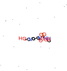 CC(CCn1ccc(-c2ccc(N3CCC(CO)CC3)cc2)cc1=O)(C(=O)NOC1CCCCO1)S(C)(=O)=O